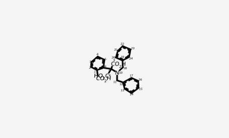 O=C(O)c1ccccc1C(C(=O)O)(C(=O)O)N(Cc1ccccc1)Cc1ccccc1